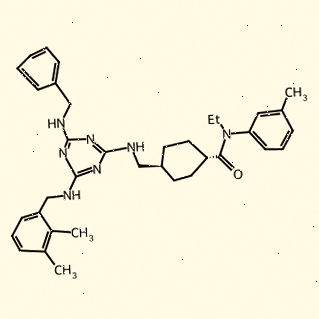 CCN(c1cccc(C)c1)C(=O)[C@H]1CC[C@H](CNc2nc(NCc3ccccc3)nc(NCc3cccc(C)c3C)n2)CC1